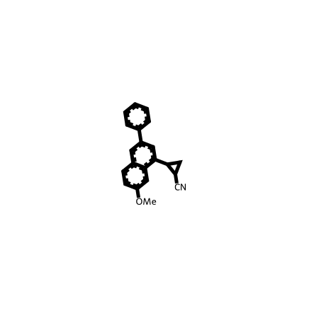 COc1ccc2cc(-c3ccccc3)cc(C3CC3C#N)c2c1